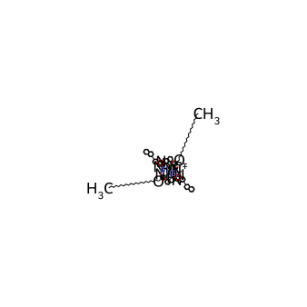 [C-]#[N+]/C(c1cnc2cc(-c3ccc4ccccc4c3)ccc2n1)=c1\c2c(-c3ccc(OCCCCCCCCCCCCCCCCCCCC)cc3)n(B(c3ccccc3)c3ccccc3)/c(=C(/C#N)c3cnc4cc(-c5ccc6ccccc6c5)ccc4n3)c2c(-c2ccc(OCCCCCCCCCCCCCCCCCCCC)cc2)n1B(c1ccccc1)c1ccccc1